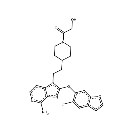 Nc1nccc2c1nc(Sc1cc3occc3cc1Cl)n2CCC1CCN(C(=O)CO)CC1